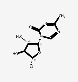 CC[C@H]1O[C@@H](n2cnc(C)nc2=O)[C@@H](C)C1O